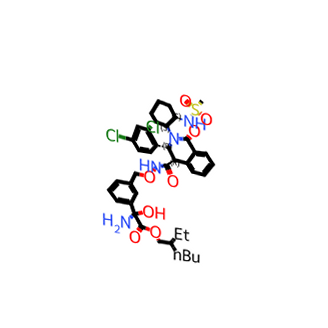 CCCCC(CC)COC(=O)C(N)(O)c1cccc(CONC(=O)[C@@H]2c3ccccc3C(=O)N([C@H]3CCCC[C@@H]3NS(C)(=O)=O)[C@H]2c2ccc(Cl)cc2Cl)c1